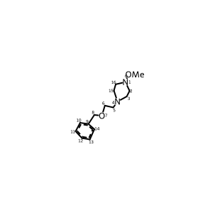 CON1CCN(CCOCc2ccccc2)CC1